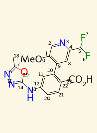 COc1cnc(C(F)F)cc1-c1cc(Nc2nnc(C)o2)ccc1C(=O)O